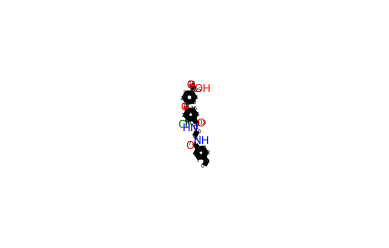 CCc1ccc(C(=O)NCCNC(=O)c2ccc(O[C@H]3CC[C@@H](C(=O)O)CC3)cc2Cl)cc1